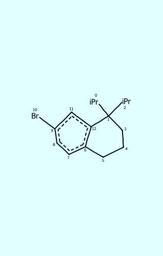 CC(C)C1(C(C)C)CCCc2ccc(Br)cc21